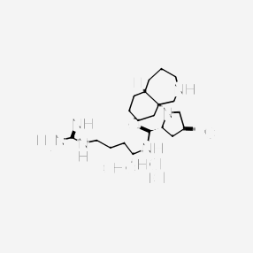 Cl.Cl.N=C(N)NCCC[C@@H](C=O)NC(=O)[C@@H]1CC(=C=O)CN1[C@]12CCCC[C@H]1CCCNC2